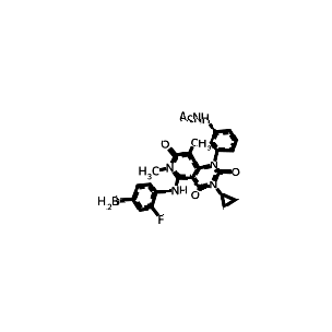 Bc1ccc(Nc2c3c(=O)n(C4CC4)c(=O)n(-c4cccc(NC(C)=O)c4)c3c(C)c(=O)n2C)c(F)c1